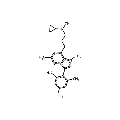 Cc1cc(C)c(-c2cn(C)c3c(CCCN(C)C4CC4)cc(C)nc23)c(C)c1